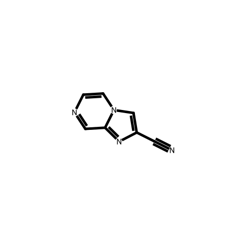 N#Cc1cn2ccncc2n1